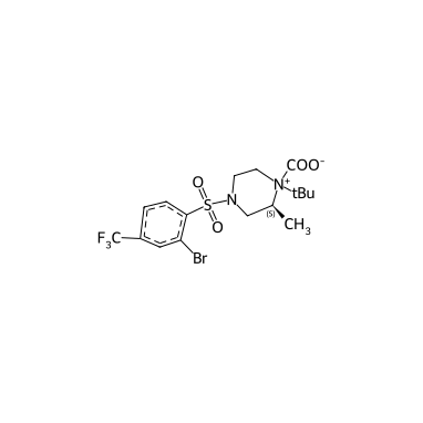 C[C@H]1CN(S(=O)(=O)c2ccc(C(F)(F)F)cc2Br)CC[N+]1(C(=O)[O-])C(C)(C)C